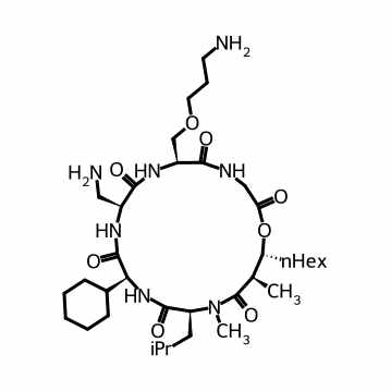 CCCCCC[C@H]1OC(=O)CNC(=O)[C@H](COCCCN)NC(=O)[C@H](CN)NC(=O)[C@H](C2CCCCC2)NC(=O)[C@H](CC(C)C)N(C)C(=O)[C@@H]1C